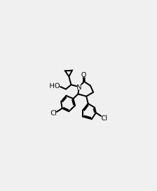 O=C1CCC(c2cccc(Cl)c2)C(c2ccc(Cl)cc2)N1C(CO)C1CC1